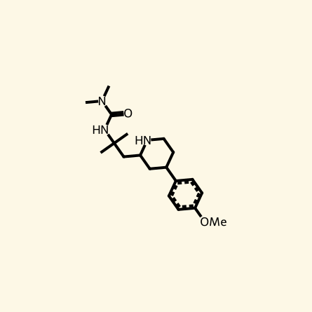 COc1ccc(C2CCNC(CC(C)(C)NC(=O)N(C)C)C2)cc1